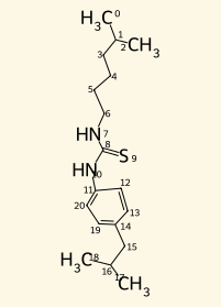 CC(C)CCCCNC(=S)Nc1ccc(CC(C)C)cc1